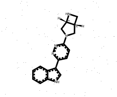 c1ccc2c(-c3ccc(N4C[C@H]5CN[C@H]5C4)nn3)c[nH]c2c1